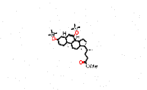 COC(=O)CC[C@@H](C)[C@H]1CCC2[C@@H]3C(O[Si](C)(C)C)=C[C@@H]4CC(O[Si](C)(C)C)CC[C@]4(C)C3CC[C@@]21C